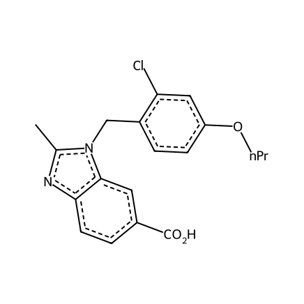 CCCOc1ccc(Cn2c(C)nc3ccc(C(=O)O)cc32)c(Cl)c1